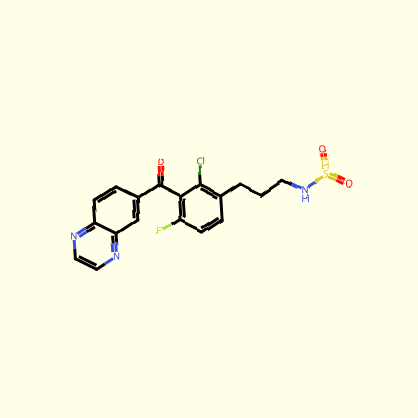 O=C(c1ccc2nccnc2c1)c1c(F)ccc(CCCN[SH](=O)=O)c1Cl